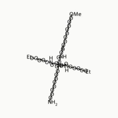 CCOCCOCCOCCOCCOCCNC(=O)CCOCC(COCCC(=O)NCCOCCOCCOCCOCCOCC)(COCCC(=O)NCCOCCOCCOCCOCCOCCOCCOCCOCCOCCOCCOC)NC(=O)CCOCCOCCOCCOCCOCCOCCOCCOCCN